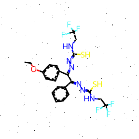 CCOc1ccc(C(=N\N=C(/S)NCC(F)(F)F)/C(=N/N=C(\S)NCC(F)(F)F)c2ccccc2)cc1